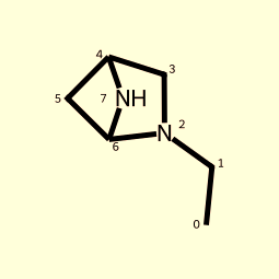 CCN1CC2CC1N2